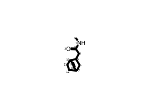 CNC(=O)CC1CC2C=CC1CC2